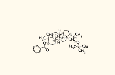 C[C@H](CO[Si](C)(C)C(C)(C)C)[C@@H]1CC[C@H]2[C@@H]3CC=C4C(C)(C)[C@@H](OC(=O)c5ccccc5)CC[C@@]4(C)[C@H]3CC[C@@]21C